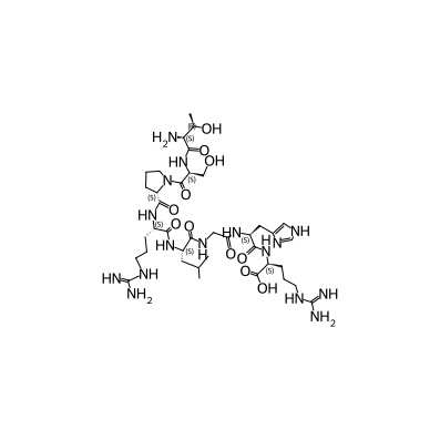 CC(C)C[C@H](NC(=O)[C@H](CCCNC(=N)N)NC(=O)[C@@H]1CCCN1C(=O)[C@H](CO)NC(=O)[C@@H](N)[C@@H](C)O)C(=O)NCC(=O)N[C@@H](Cc1c[nH]cn1)C(=O)N[C@@H](CCCNC(=N)N)C(=O)O